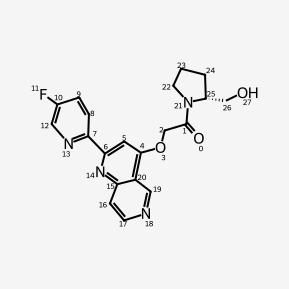 O=C(COc1cc(-c2ccc(F)cn2)nc2ccncc12)N1CCC[C@@H]1CO